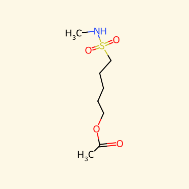 CNS(=O)(=O)CCCCCOC(C)=O